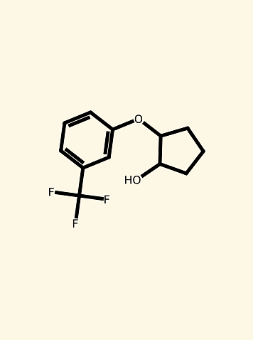 OC1CCCC1Oc1cccc(C(F)(F)F)c1